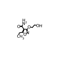 CCc1onc(OCCO)c1C(N)=O